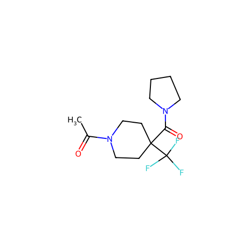 CC(=O)N1CCC(C(=O)N2CCCC2)(C(F)(F)F)CC1